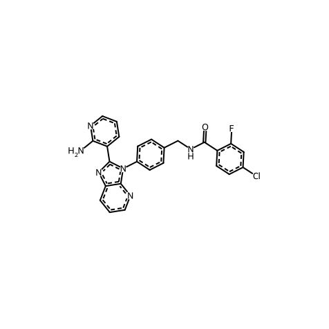 Nc1ncccc1-c1nc2cccnc2n1-c1ccc(CNC(=O)c2ccc(Cl)cc2F)cc1